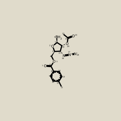 B[C@@H]1O[C@H](COC(=O)c2ccc(C)cc2)[C@@H](N=[N+]=[N-])[C@H]1OC(C)=O